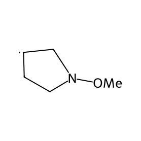 CON1C[CH]CC1